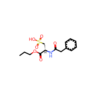 CCCOC(=O)[C@H](CS(=O)(=O)O)NC(=O)Cc1ccccc1